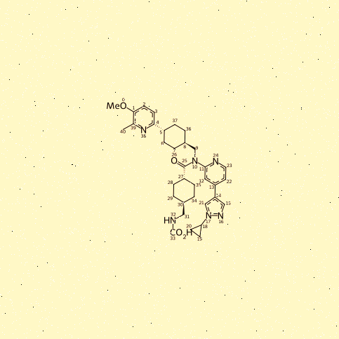 COc1ccc([C@H]2CC[C@H](CN(c3cc(-c4cnn(C5CC5)c4)ccn3)C(=O)[C@H]3CC[C@H](CNC(=O)O)CC3)CC2)nc1C